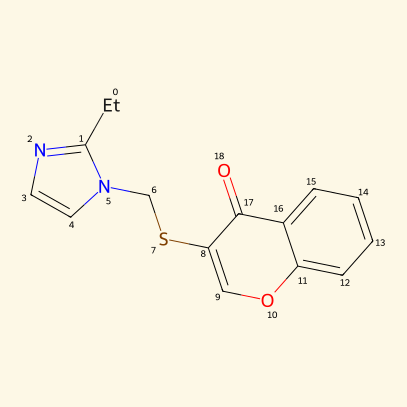 CCc1nccn1CSc1coc2ccccc2c1=O